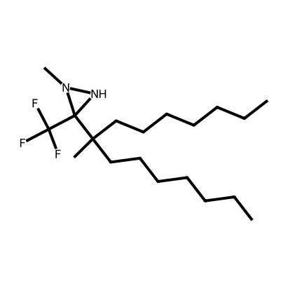 CCCCCCCC(C)(CCCCCCC)C1(C(F)(F)F)NN1C